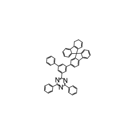 C1=CC2=C(CC1)c1ccccc1C21c2ccccc2-c2ccc(-c3cc(-c4ccccc4)cc(-c4nc(-c5ccccc5)nc(-c5ccccc5)n4)c3)cc21